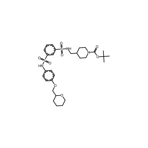 CC(C)(C)OC(=O)N1CCC(CNS(=O)(=O)c2cccc(S(=O)(=O)Nc3ccc(OCC4CCCCO4)cc3)c2)CC1